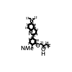 CNc1ccc(-c2ccc3cc(N(C)C)ccc3n2)cc1OCC(O)CF